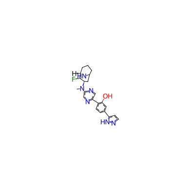 CN(c1cnc(-c2ccc(-c3ccn[nH]3)cc2O)cn1)[C@@H]1CC2CCC[C@H](N2)[C@@H]1F